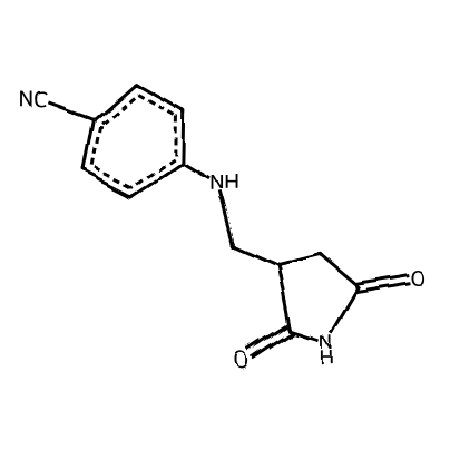 N#Cc1ccc(NCC2CC(=O)NC2=O)cc1